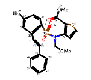 COCN(c1ccsc1C(=O)OC)S(=O)(=O)c1ccc(C(C)(C)C)cc1/C=C/c1ccccc1